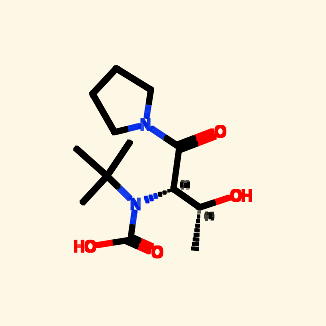 C[C@@H](O)[C@@H](C(=O)N1CCCC1)N(C(=O)O)C(C)(C)C